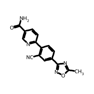 Cc1nc(-c2ccc(-c3ccc(C(N)=O)cn3)c(C#N)c2)no1